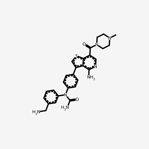 CN1CCN(C(=O)c2cnc(N)c3c(-c4ccc(N(C(N)=O)c5cccc(CN)c5)cc4)csc23)CC1